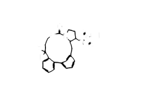 CS(=O)(=O)NC1CCN2C(=O)OCCC(F)(F)c3ccccc3-c3cccc(c3)CC12